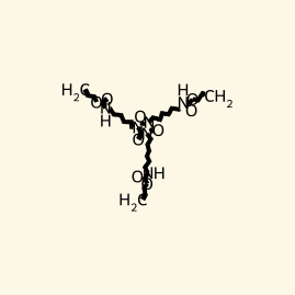 C=CCOC(=O)NCCCCCCn1c(=O)n(CCCCCCNC(=O)OCC=C)c(=O)n(CCCCCCNC(=O)OCC=C)c1=O